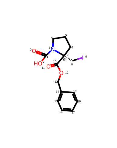 O=C(O)N1CCC[C@@]1(CI)C(=O)OCc1ccccc1